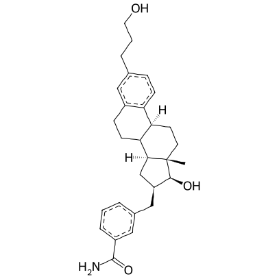 C[C@]12CC[C@@H]3c4ccc(CCCO)cc4CCC3[C@@H]1C[C@H](Cc1cccc(C(N)=O)c1)[C@@H]2O